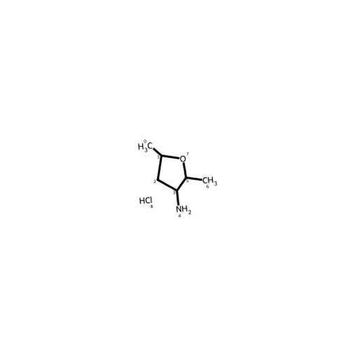 CC1CC(N)C(C)O1.Cl